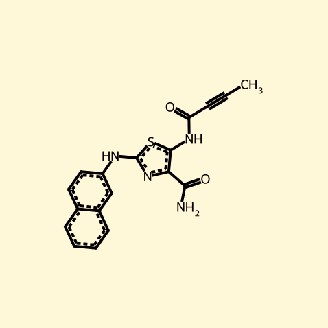 CC#CC(=O)Nc1sc(Nc2ccc3ccccc3c2)nc1C(N)=O